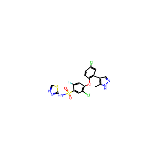 Cc1[nH]ncc1-c1cc(Cl)ccc1Oc1cc(F)c(S(=O)(=O)Nc2nncs2)cc1Cl